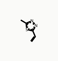 C=Cc1nnc(C)s1